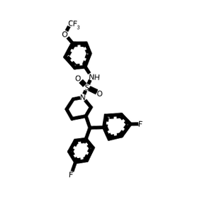 O=S(=O)(Nc1ccc(OC(F)(F)F)cc1)N1CCCC(C(c2ccc(F)cc2)c2ccc(F)cc2)C1